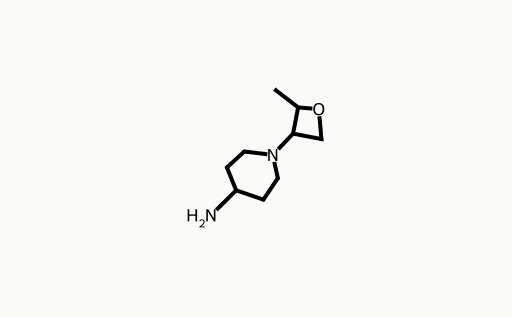 CC1OCC1N1CCC(N)CC1